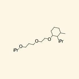 CC(C)OCCCOCCOC1CCCC(C)C1C(C)C